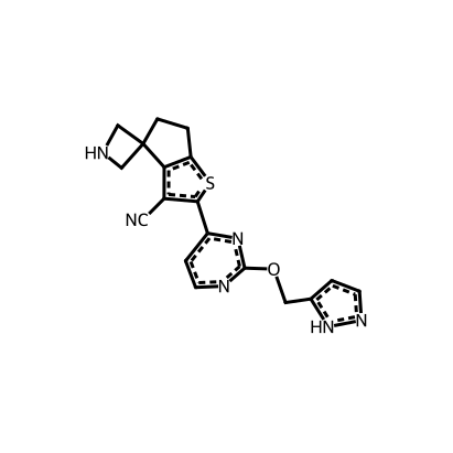 N#Cc1c(-c2ccnc(OCc3ccn[nH]3)n2)sc2c1C1(CC2)CNC1